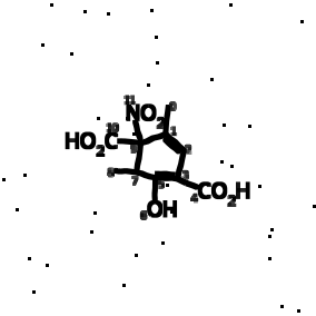 CC1=CC(C(=O)O)=C(O)C(C)C1(C(=O)O)[N+](=O)[O-]